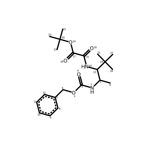 CC(NC(=O)OCc1ccccc1)C(NC(=O)C(=O)OC(C)(C)C)C(C)(C)C